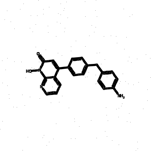 Nc1ccc(Cc2ccc(-c3cc(=O)n(O)c4ncccc34)cc2)cc1